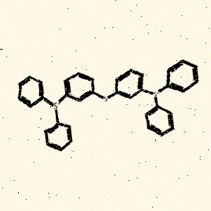 c1ccc([S+](c2ccccc2)c2cccc(Sc3cccc([S+](c4ccccc4)c4ccccc4)c3)c2)cc1